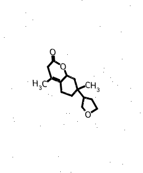 CC1=C2CCC(C)(C3CCOC3)CC2OC(=O)C1